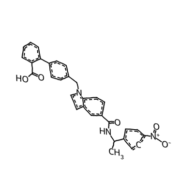 CC(NC(=O)c1ccc2c(ccn2Cc2ccc(-c3ccccc3C(=O)O)cc2)c1)c1ccc([N+](=O)[O-])cc1